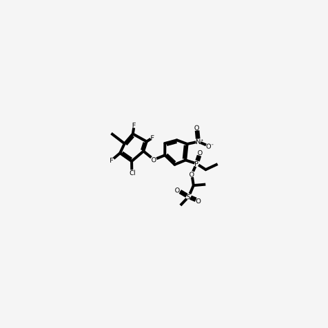 CCP(=O)(OC(C)S(C)(=O)=O)c1cc(Oc2c(F)c(F)c(C)c(F)c2Cl)ccc1[N+](=O)[O-]